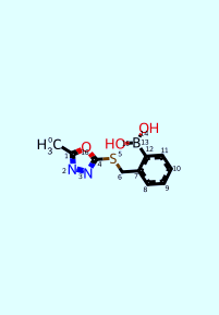 Cc1nnc(SCc2ccccc2B(O)O)o1